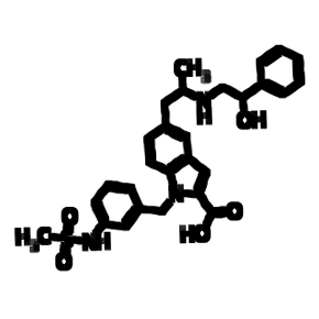 CC(Cc1ccc2c(c1)cc(C(=O)O)n2Cc1cccc(NS(C)(=O)=O)c1)NCC(O)c1ccccc1